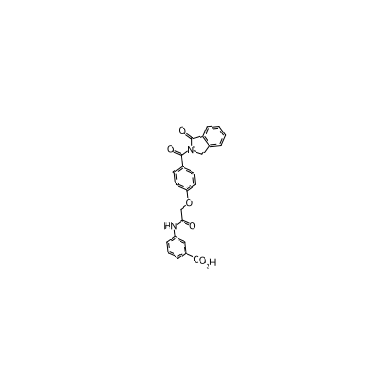 O=C(COc1ccc(C(=O)N2Cc3ccccc3C2=O)cc1)Nc1cccc(C(=O)O)c1